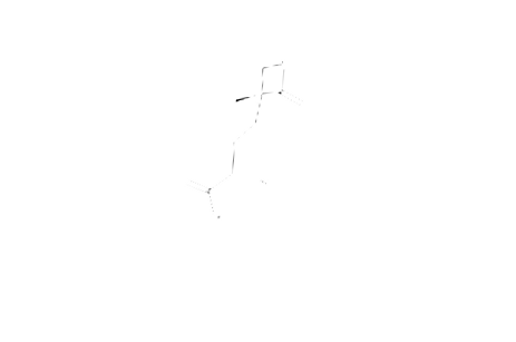 N[C@@H](CC[C@]1(O)CNC1=O)C(=O)O